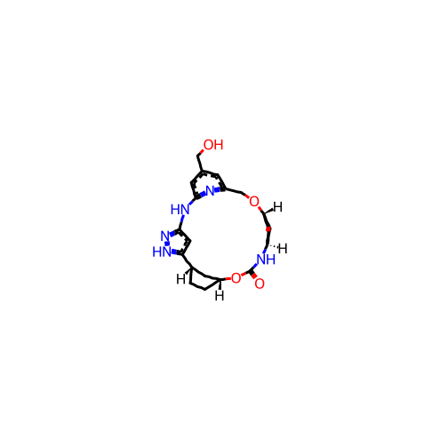 O=C1N[C@H]2C[C@@H](C2)OCc2cc(CO)cc(n2)Nc2cc([nH]n2)[C@H]2CC[C@H](C2)O1